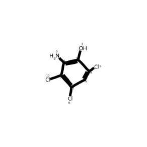 Nc1c(O)c(Cl)cc(Cl)c1Cl